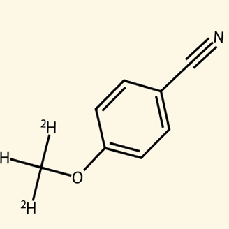 [2H]C([2H])([2H])Oc1ccc(C#N)cc1